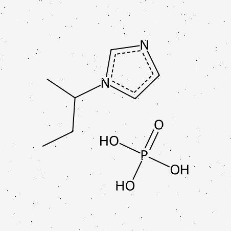 CCC(C)n1ccnc1.O=P(O)(O)O